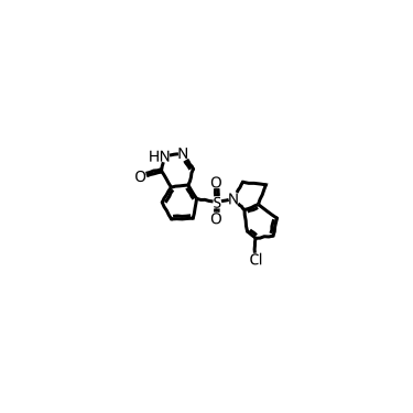 O=c1[nH]ncc2c(S(=O)(=O)N3CCc4ccc(Cl)cc43)cccc12